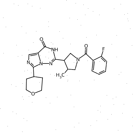 CC1CN(C(=O)c2ccccc2F)CC1c1nn2c(C3CCOCC3)ncc2c(=O)[nH]1